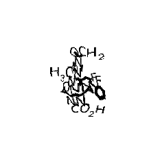 C=CC(=O)N1CCN(c2nc(=O)n(-c3c(C4CC4)nc(C(=O)O)nc3C3CC3)c3nc(-c4ccccc4F)c(F)cc23)[C@@H](C)C1